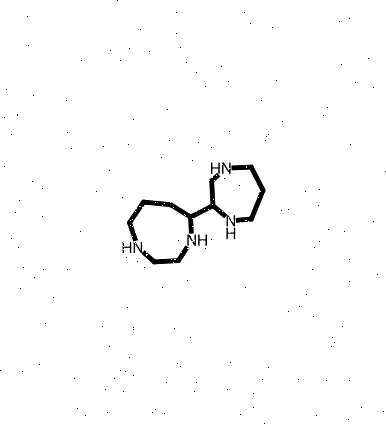 C1CNCC(C2CCCNCCN2)NC1